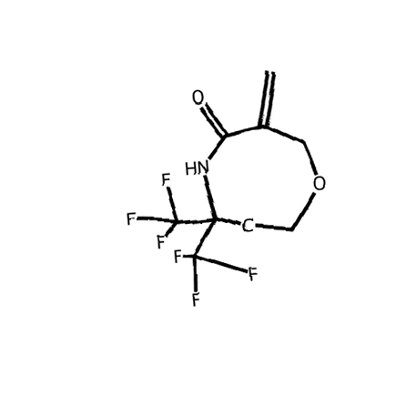 C=C1COCCC(C(F)(F)F)(C(F)(F)F)NC1=O